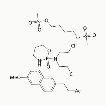 COc1ccc2cc(CCC(C)=O)ccc2c1.CS(=O)(=O)OCCCCOS(C)(=O)=O.O=P1(N(CCCl)CCCl)NCCCO1